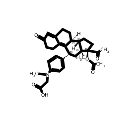 CC(=O)O[C@]1(C(C)=O)CC[C@H]2[C@@H]3CCC4=CC(=O)CCC4=C3[C@@H](c3ccc(N(C)CC(=O)O)cc3)C[C@@]21C